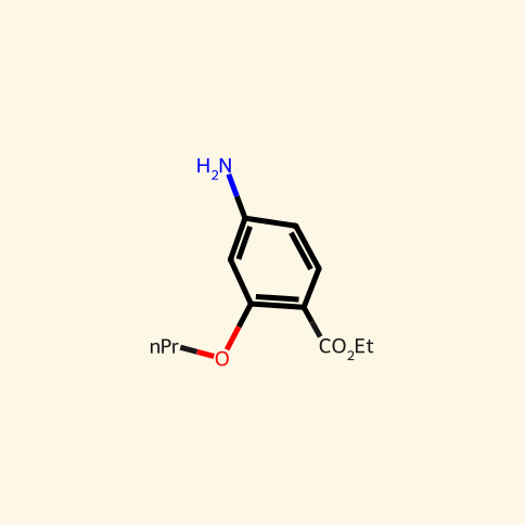 CCCOc1cc(N)ccc1C(=O)OCC